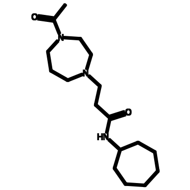 CC(=O)N1CCCN(CCC(=O)NC2CCCCCC2)CC1